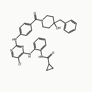 O=C(Nc1ccccc1Nc1nc(Nc2ccc(C(=O)N3CCC(O)(Cc4ccccc4)CC3)cc2)ncc1Cl)C1CC1